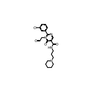 O=CCn1c(-c2cccc(Cl)c2)ncc(C(=O)NCCCN2CCCCC2)c1=O